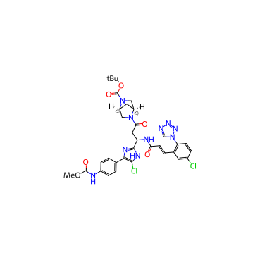 COC(=O)Nc1ccc(-c2nc(C(CC(=O)N3C[C@@H]4C[C@H]3CN4C(=O)OC(C)(C)C)NC(=O)C=Cc3cc(Cl)ccc3-n3cnnn3)[nH]c2Cl)cc1